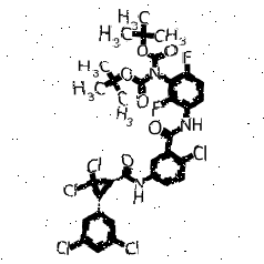 CC(C)(C)OC(=O)N(C(=O)OC(C)(C)C)c1c(F)ccc(NC(=O)c2cc(NC(=O)[C@H]3[C@H](c4cc(Cl)cc(Cl)c4)C3(Cl)Cl)ccc2Cl)c1F